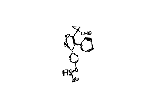 C[SiH](Oc1ccc(-c2noc(C3(C=O)CC3)c2-c2ccccc2)cc1)C(C)(C)C